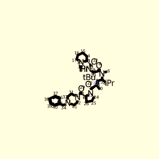 C/C(=C\C(C(C)C)N(C)C(=O)[C@@H](NC(=O)[C@H]1CCCCN1C(C)C)C(C)(C)C)C(=O)N1CCC[C@H]1C(=O)N1CCN(Cc2ccccc2)CC1